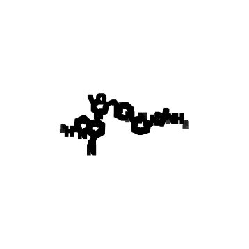 [2H]c1ccc2c(N3C[C@H](CN4CCN(c5cccc(N6CC(C)(N)C6)n5)CC4)O[C@H](C)C3)ccc(C#N)c2n1